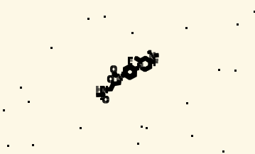 CC(=O)NCC1CN(c2ccc(N3CCC(F)(N(C)C)CC3C)c(F)c2)C(=O)O1